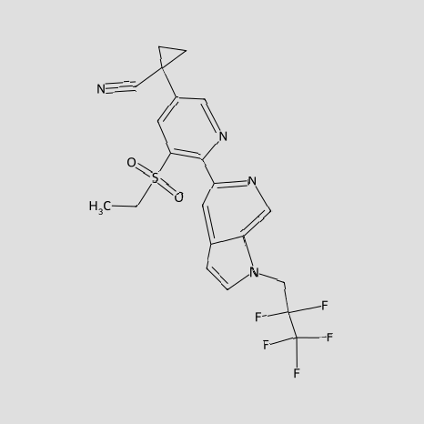 CCS(=O)(=O)c1cc(C2(C#N)CC2)cnc1-c1cc2ccn(CC(F)(F)C(F)(F)F)c2cn1